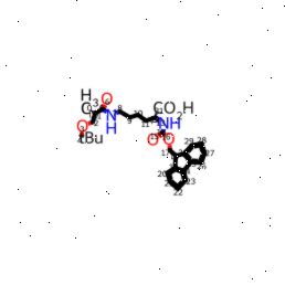 C[C@@H](COC(C)(C)C)C(=O)NCCCC[C@H](NC(=O)OCC1c2ccccc2-c2ccccc21)C(=O)O